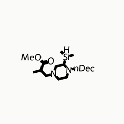 CCCCCCCCCCN1CCN(CC(C)C(=O)OC)CC1[SiH](C)C